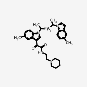 Cc1ccc2c(c1)c(C(=O)C(=O)NCCN1CCCCC1)cn2C(C)C.Cc1ccc2c(ccn2C(C)C)c1